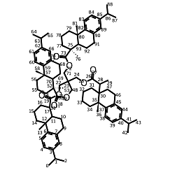 CC(C)c1ccc2c(c1)CCC1C2(C)CCC[C@@]1(C)C(=O)OCC(COC(=O)C(C)C12CCCC[C@@]1(C)c1ccc(C(C)C)cc1CC2)(COC(=O)[C@@]1(C)CCC[C@]2(C)c3ccc(C(C)C)cc3CCC12)COC(=O)[C@@]1(C)CCC[C@]2(C)c3ccc(C(C)C)cc3CCC12